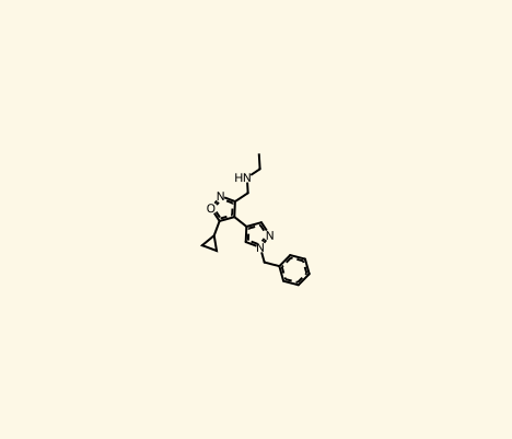 CCNCc1noc(C2CC2)c1-c1cnn(Cc2ccccc2)c1